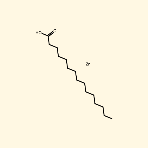 CCCCCCCCCCCCCCC(=O)O.[Zn]